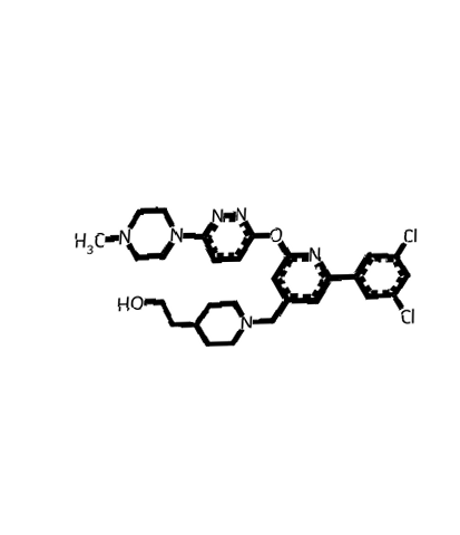 CN1CCN(c2ccc(Oc3cc(CN4CCC(CCO)CC4)cc(-c4cc(Cl)cc(Cl)c4)n3)nn2)CC1